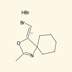 Br.CC1=NC2(CCCCC2)/C(=C/Br)O1